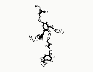 CCc1cc(OCC=C(F)Br)cc(CC)c1OCCCOc1ccc(Cl)cc1